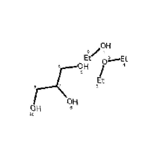 CCO.CCOCC.OCC(O)CO